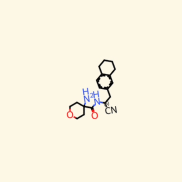 N#C[C@H](Cc1ccc2c(c1)CCCC2)NC(=O)C1(N)CCOCC1